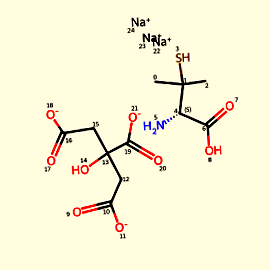 CC(C)(S)[C@@H](N)C(=O)O.O=C([O-])CC(O)(CC(=O)[O-])C(=O)[O-].[Na+].[Na+].[Na+]